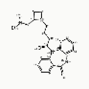 CCN(CC)CC1CCN1CCCC(=O)N1c2ccccc2C(=O)Nc2cccnc21